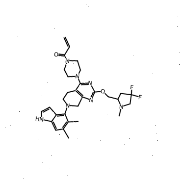 C=CC(=O)N1CCN(c2nc(OCC3CC(F)(F)CN3C)nc3c2CCN(c2c(C)c(C)cc4[nH]ccc24)C3)CC1